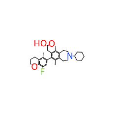 Cc1c(-c2c(C)c3c(c(C)c2CC(=O)O)CCN(C2CCCCC2)CC3)cc(F)c2c1CCCO2